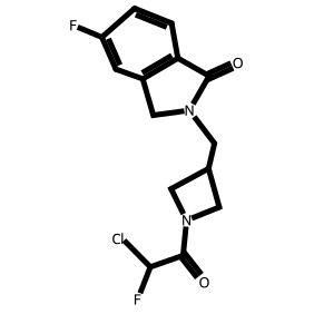 O=C1c2ccc(F)cc2CN1CC1CN(C(=O)C(F)Cl)C1